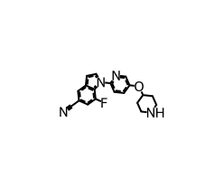 N#Cc1cc(F)c2c(ccn2-c2ccc(OC3CCNCC3)cn2)c1